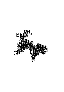 CCOc1c(CON(CC)c2cccc(C)c2)cc2ccc3c4cc(Cl)ccc4n(CC)c3c2c1N=Nc1ccc2c(c1)C(=O)c1cc(N=Nc3c(OCC)c(C(=O)N(CC)c4ccccc4Cl)cc4ccc5c6cc(Cl)ccc6n(CC)c5c34)ccc1-2